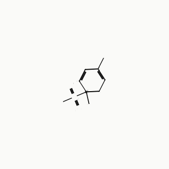 CC1=CCC(C)(S(C)(=O)=O)C=C1